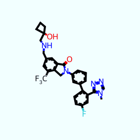 Cn1cnnc1-c1cc(F)ccc1-c1cccc(N2Cc3c(cc(CNCC4(O)CCC4)cc3C(F)(F)F)C2=O)c1